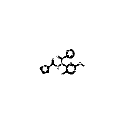 COc1ncc(F)c(N(NC(=O)c2cccs2)C(=O)c2cccs2)n1